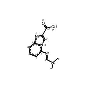 CN(C)C=Nc1cccc2nc(C(=O)O)cn12